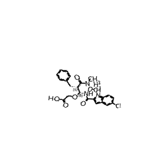 CON(C)C(=O)[C@@H](Cc1ccccc1)[C@H](NC(=O)c1cc2cc(Cl)ccc2[nH]1)OCC(=O)O